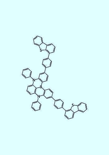 c1ccc(N2c3cc(-c4ccc(-c5cccc6c5sc5ccccc56)cc4)ccc3B3c4ccc(-c5ccc(-c6cccc7c6sc6ccccc67)cc5)cc4N(c4ccccc4)c4cccc2c43)cc1